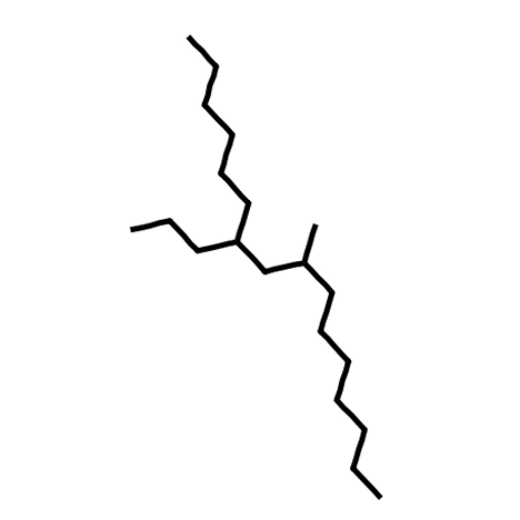 CCCCCCCC(C)CC(CCC)CCCCCC